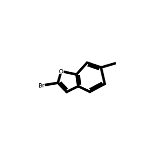 Cc1ccc2cc(Br)oc2c1